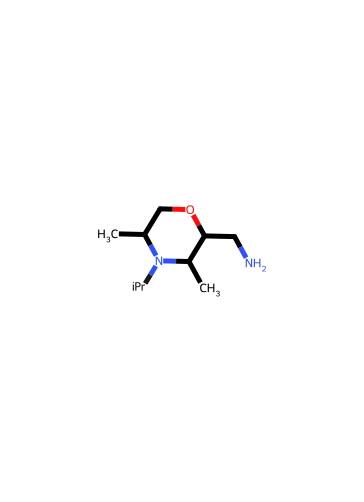 CC(C)N1C(C)COC(CN)C1C